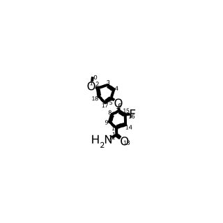 COc1ccc(Oc2ccc(C(N)=O)cc2F)cc1